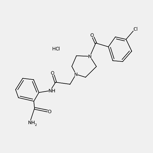 Cl.NC(=O)c1ccccc1NC(=O)CN1CCN(C(=O)c2cccc(Cl)c2)CC1